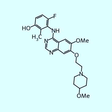 COc1cc2c(Nc3c(F)ccc(O)c3C)ncnc2cc1OCCN1CCC(OC)CC1